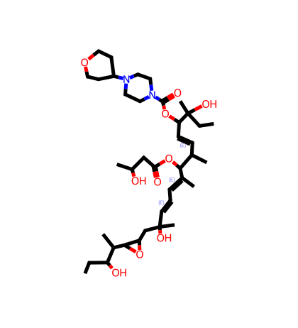 CCC(O)C(C)C1OC1CC(C)(O)/C=C/C=C(\C)C(OC(=O)CC(C)O)C(C)/C=C/C(OC(=O)N1CCN(C2CCOCC2)CC1)C(C)(O)CC